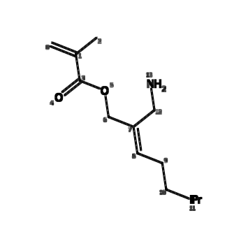 C=C(C)C(=O)OCC(=CCCC(C)C)CN